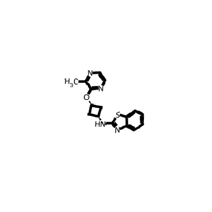 Cc1nccnc1O[C@H]1C[C@@H](Nc2nc3ccccc3s2)C1